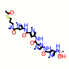 CB(O)Nc1cc(C(=O)Nc2cn(C)c(C(=O)Nc3cc(C(=O)Nc4cc(C(=O)N(C)CCCSC(C)=O)n(C)c4)n(C)c3)n2)n(C)c1